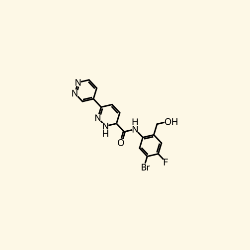 O=C(Nc1cc(Br)c(F)cc1CO)C1C=CC(c2ccnnc2)=NN1